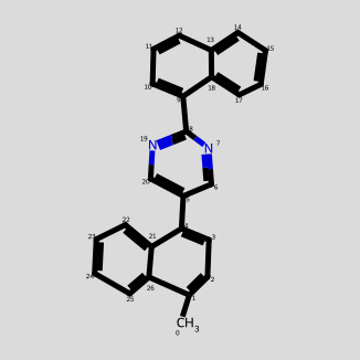 Cc1ccc(-c2cnc(-c3cccc4ccccc34)nc2)c2ccccc12